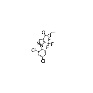 CCOC(=O)c1cnn(-c2ccc(Cl)cc2Cl)c1C(F)(F)F